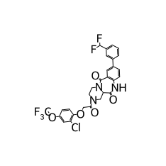 O=C1Nc2ccc(-c3cccc(C(F)F)c3)cc2C(=O)N2CCN(C(=O)COc3ccc(OC(F)(F)F)cc3Cl)CC12